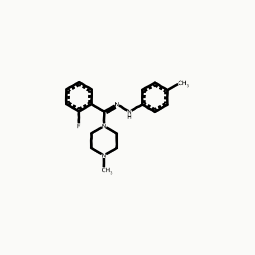 Cc1ccc(NN=C(c2ccccc2F)N2CCN(C)CC2)cc1